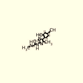 C#Cc1ccc(-c2nnc(NC(=O)CNC)nc2C)c(O)c1